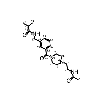 CC(=O)NCCN1CCN(C(=O)c2cccc(CNC(=O)C(C)C)c2)CC1